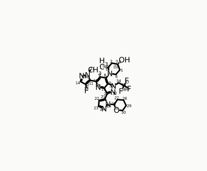 C[C@@H]1C[C@@H](O)CCN1c1cc(-c2c(F)cnn2C)nc2c(-c3ccnn3C3CCCCO3)nn(CC(F)(F)F)c12